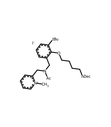 CCCCCCCCCCCCCCOc1c(CN(Cc2cccc[n+]2C)C(C)=O)cccc1C(C)(C)C.[I-]